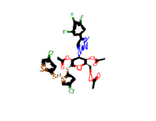 CC(=O)OC[C@H]1O[C@H](Sc2cc(Cl)cs2)[C@H](OC(C)=O)[C@@H](n2cc(-c3cc(F)c(F)c(F)c3)nn2)[C@H]1OC(C)=O.Sc1cc(Cl)cs1